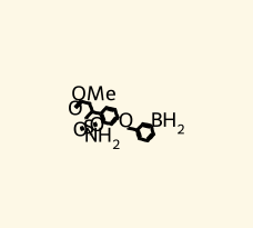 Bc1cccc(COc2ccc(C(CC(=O)OC)CS(N)(=O)=O)cc2)c1